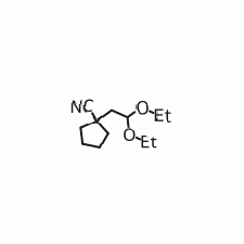 CCOC(CC1(C#N)CCCC1)OCC